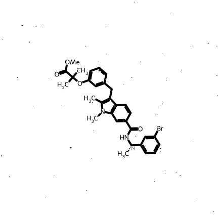 COC(=O)C(C)(C)Oc1cccc(Cc2c(C)n(C)c3cc(C(=O)N[C@@H](C)c4cccc(Br)c4)ccc23)c1